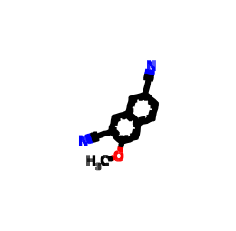 COc1cc2ccc(C#N)cc2cc1C#N